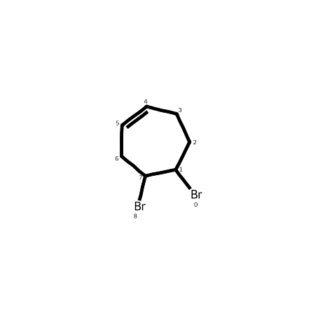 Br[C]1CCC=CCC1Br